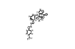 CC(C)c1ccc(OCCOc2cc(CC3(c4ccoc4C(=O)O)CCCO3)ccn2)cc1